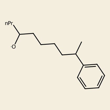 CCCC([O])CCCCC(C)c1ccccc1